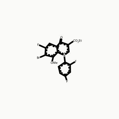 CCOC(=O)c1cn(-c2ccc(F)cc2F)c2c(OC)c(Br)c(F)cc2c1=O